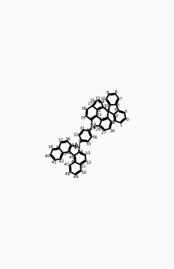 c1ccc2c(c1)-c1ccccc1C21c2cccc3ccc4c(c23)c2c1cccc2n4-c1ccc(-n2c3ccc4ccccc4c3c3c4ccccc4ccc32)cc1